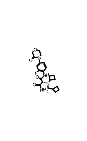 NC(=O)[C@H](C(=O)Nc1ccc(N2CCOCC2=O)cc1F)N(CC1CCC1)C1CCC1